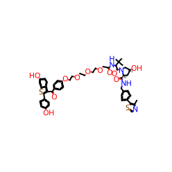 Cc1ncsc1-c1ccc(CNC(=O)[C@@H]2C[C@@H](O)CN2C(=O)C(NC(=O)COCCOCCOCCOc2ccc(C(=O)c3c(-c4ccc(O)cc4)sc4cc(O)ccc34)cc2)C(C)(C)C)cc1